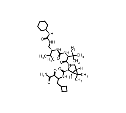 CC(C)[C@@H](CNC(=O)NC1CCCCC1)NC(=O)N[C@H](C(=O)N1C[C@H]2[C@@H]([C@H]1C(=O)NC(CC1CCC1)C(=O)C(N)=O)C2(C)C)C(C)(C)C